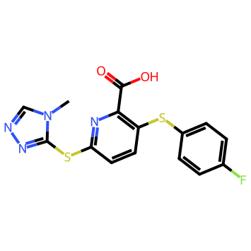 Cn1cnnc1Sc1ccc(Sc2ccc(F)cc2)c(C(=O)O)n1